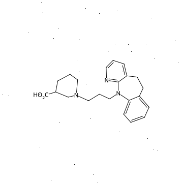 O=C(O)C1CCCN(CCCN2c3ccccc3CCc3cccnc32)C1